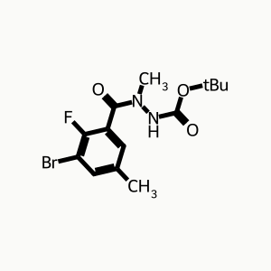 Cc1cc(Br)c(F)c(C(=O)N(C)NC(=O)OC(C)(C)C)c1